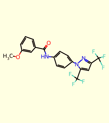 COc1cccc(C(=O)Nc2ccc(-n3nc(C(F)(F)F)cc3C(F)(F)F)cc2)c1